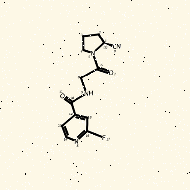 N#C[C@@H]1CCCN1C(=O)CNC(=O)c1ccnc(F)c1